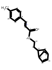 Cc1ccc(/C=C/C(=O)OCCC2CC3C=CC2C3)cc1